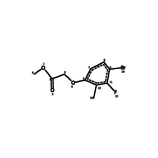 COC(=O)COc1ccc(Br)c(F)c1C